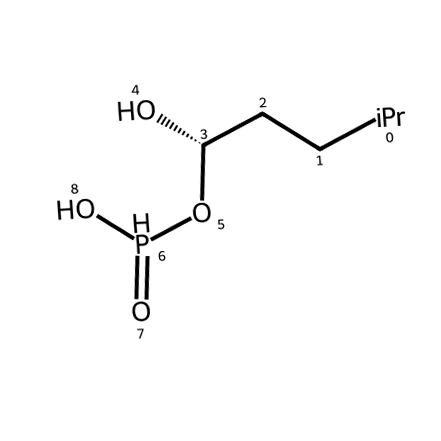 CC(C)CC[C@@H](O)O[PH](=O)O